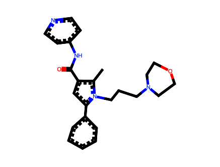 Cc1c(C(=O)Nc2ccncc2)cc(-c2ccccc2)n1CCCN1CCOCC1